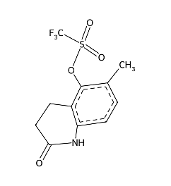 Cc1ccc2c(c1OS(=O)(=O)C(F)(F)F)CCC(=O)N2